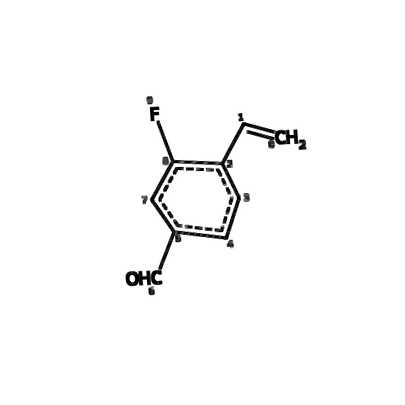 C=Cc1ccc(C=O)cc1F